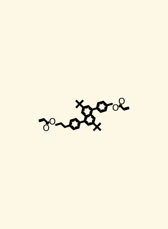 C=CC(=O)OCCCc1ccc(-c2cc(C(C)(C)C)cc3c(-c4ccc(COC(=O)C=C)cc4)cc(C(C)(C)C)cc23)cc1